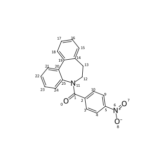 O=C(c1ccc([N+](=O)[O-])cc1)N1CCc2ccccc2-c2ccccc21